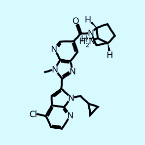 Cn1c(-c2cc3c(Cl)ccnc3n2CC2CC2)nc2cc(C(=O)N3C[C@H]4CC[C@@H]3[C@@H]4N)cnc21